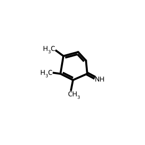 CC1=C=CC(=N)C(C)=C1C